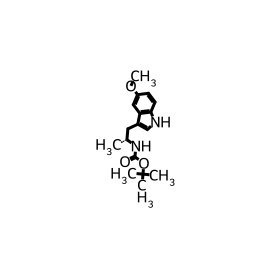 COc1ccc2[nH]cc(C[C@@H](C)NC(=O)OC(C)(C)C)c2c1